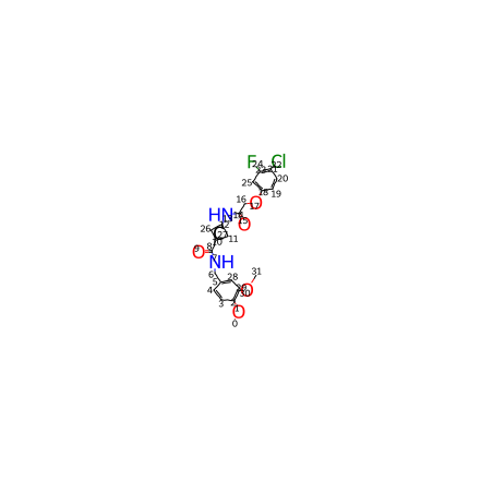 COc1ccc(CNC(=O)C23CC(NC(=O)COc4ccc(Cl)c(F)c4)(C2)C3)cc1OC